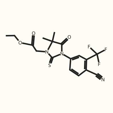 CCOC(=O)CN1C(=S)N(c2ccc(C#N)c(C(F)(F)F)c2)C(=O)C1(C)C